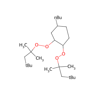 CCCCC1CCC(OOC(C)(C)CC(C)(C)C)C(OOC(C)(C)CC(C)(C)C)C1